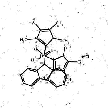 CC1=C(C)C(C)[C]([Hf]([CH3])(=[SiH2])([Cl])([C]2=C(C)C(C)=C(C)C2C)[CH]2c3ccccc3-c3ccccc32)=C1C.Cl.Cl